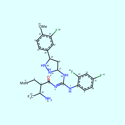 CNCC(C(=O)/N=C(/Nc1ccc(F)cc1F)NC1CC(c2ccc(OC)c(F)c2)NN1)C(N)C(F)(F)F